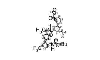 C[C@@H](NC(=O)c1cc(C2CC2)cc(C2CCCN(C(=O)C3COC3)C2)c1)c1ccc(-c2cc(C(F)(F)F)ccc2CNC(=O)OC(C)(C)C)cc1